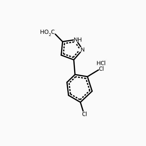 Cl.O=C(O)c1cc(-c2ccc(Cl)cc2Cl)n[nH]1